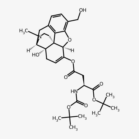 CN1CC[C@]23c4c5ccc(CO)c4O[C@H]2C(OC(=O)C[C@H](NC(=O)OC(C)(C)C)C(=O)OC(C)(C)C)=CC[C@@]3(O)[C@H]1C5